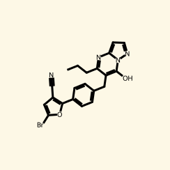 CCCc1nc2ccnn2c(O)c1Cc1ccc(-c2oc(Br)cc2C#N)cc1